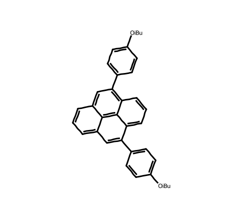 CC(C)COc1ccc(-c2cc3cccc4cc(-c5ccc(OCC(C)C)cc5)c5cccc2c5c34)cc1